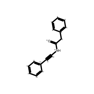 O=C(Cc1ccccc1)NC#Cc1ccccc1